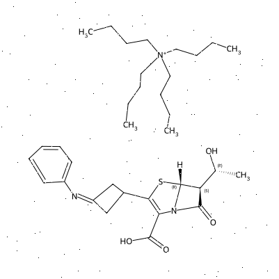 CCCC[N+](CCCC)(CCCC)CCCC.C[C@@H](O)[C@H]1C(=O)N2C(C(=O)O)=C(C3CC(=Nc4ccccc4)C3)S[C@H]12